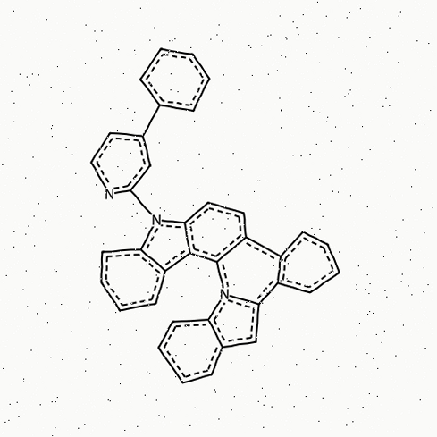 c1ccc(-c2ccnc(-n3c4ccccc4c4c3ccc3c5ccccc5c5cc6ccccc6n5c34)c2)cc1